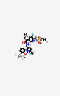 COc1c(C)cccc1-c1nc(C(F)(F)F)ccc1CNC(=O)C(C)c1ccc(CNS(C)(=O)=O)c(F)c1